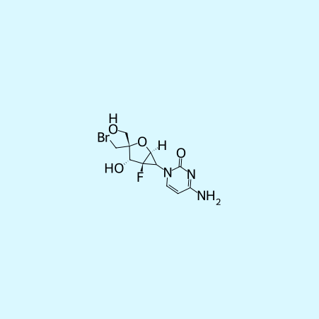 Nc1ccn(C2[C@@H]3O[C@@](CO)(CBr)[C@@H](O)[C@@]23F)c(=O)n1